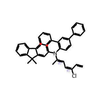 C=C/C(Cl)=C\C=C(/C)N(c1ccc2c(c1)C(C)(C)c1ccccc1-2)c1ccc(-c2ccccc2)cc1-c1ccccc1